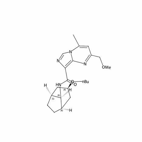 CCCCO[C@H]1C[C@H]2CC[C@@H](C1)[C@H]2NC(=O)c1ncn2c(C)cc(COC)nc12